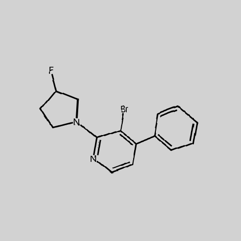 FC1CCN(c2nccc(-c3ccccc3)c2Br)C1